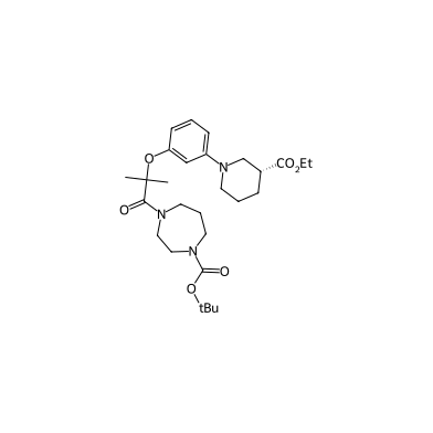 CCOC(=O)[C@@H]1CCCN(c2cccc(OC(C)(C)C(=O)N3CCCN(C(=O)OC(C)(C)C)CC3)c2)C1